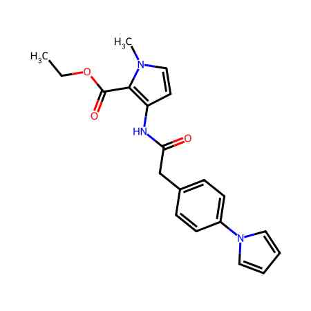 CCOC(=O)c1c(NC(=O)Cc2ccc(-n3cccc3)cc2)ccn1C